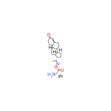 C/C(=N\OC(=O)[C@@H](N)C(C)C)[C@H]1CC[C@H]2[C@@H]3CCC4=CC(=O)CC[C@]4(C)[C@H]3CC[C@]12C